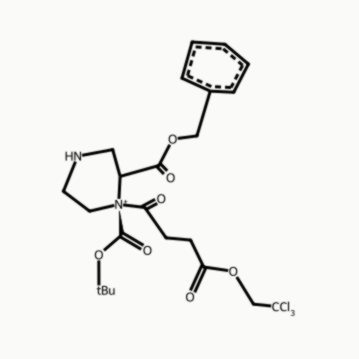 CC(C)(C)OC(=O)[N@@+]1(C(=O)CCC(=O)OCC(Cl)(Cl)Cl)CCNCC1C(=O)OCc1ccccc1